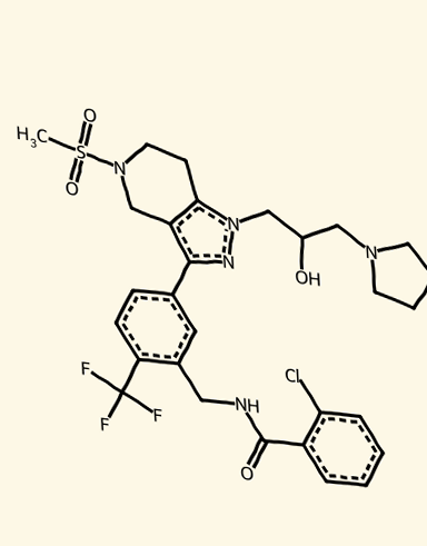 CS(=O)(=O)N1CCc2c(c(-c3ccc(C(F)(F)F)c(CNC(=O)c4ccccc4Cl)c3)nn2CC(O)CN2CCCC2)C1